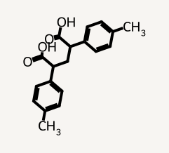 Cc1ccc(C(CC(C(=O)O)c2ccc(C)cc2)C(=O)O)cc1